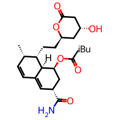 CCC(C)C(=O)O[C@H]1C[C@H](C(N)=O)C=C2C=C[C@H](C)[C@H](CC[C@@H]3C[C@@H](O)CC(=O)O3)[C@H]21